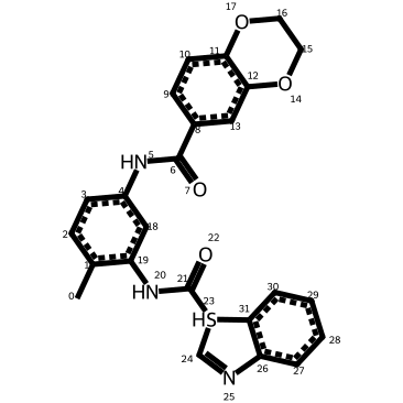 Cc1ccc(NC(=O)c2ccc3c(c2)OCCO3)cc1NC(=O)[SH]1C=Nc2ccccc21